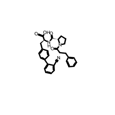 N#Cc1ccccc1-c1ccc(C[C@H](NC(=O)[C@@H]2CCCN2C(=O)CCc2ccccc2)C(=O)O)cc1